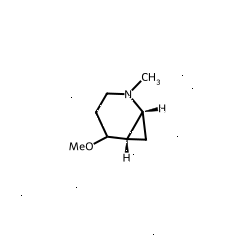 COC1CCN(C)[C@@H]2C[C@H]12